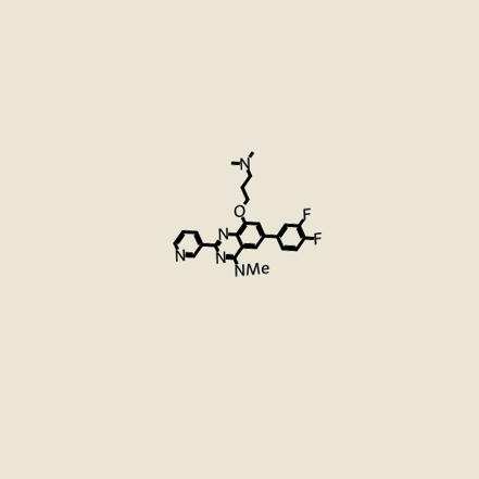 CNc1nc(-c2cccnc2)nc2c(OCCCN(C)C)cc(-c3ccc(F)c(F)c3)cc12